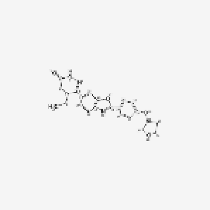 CCC1CC(=O)NN=C1c1ccc2nc(-c3ccc(OC4CCOC4)cc3)oc2c1